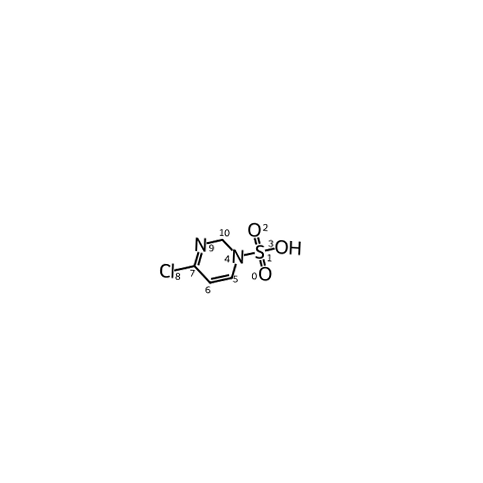 O=S(=O)(O)N1C=CC(Cl)=NC1